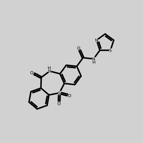 O=C(Nc1nccs1)c1ccc2c(c1)NC(=O)c1ccccc1S2(=O)=O